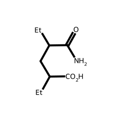 CCC(CC(CC)C(=O)O)C(N)=O